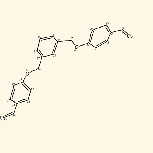 O=Cc1ccc(OCc2cccc(COc3ccc(C=O)cc3)c2)cc1